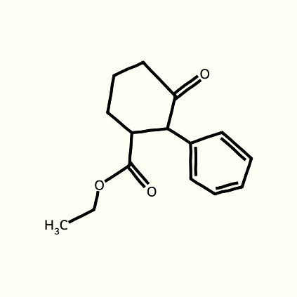 CCOC(=O)C1CCCC(=O)C1c1ccccc1